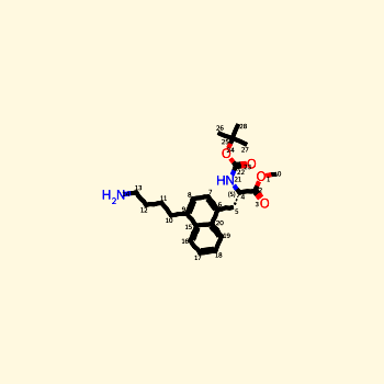 COC(=O)[C@H](Cc1ccc(CCCCN)c2ccccc12)NC(=O)OC(C)(C)C